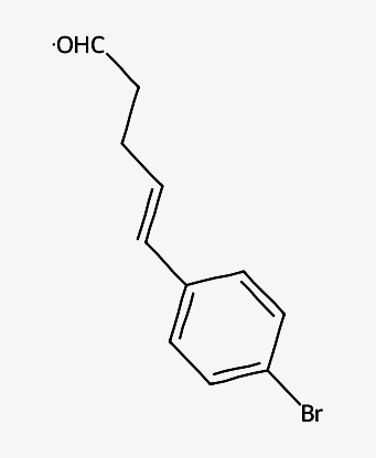 O=[C]CCC=Cc1ccc(Br)cc1